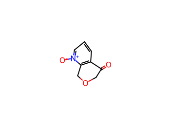 O=C1COCc2c1ccc[n+]2[O-]